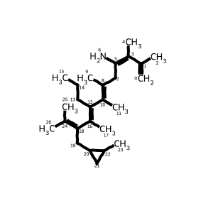 C=C(C)/C(C)=C(/N)C/C(C)=C(C)/C(CCC)=C(\C)C(CC1CC1C)=C(C)C